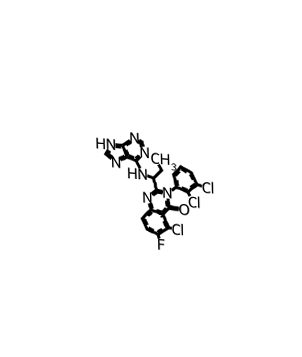 CCC(Nc1ncnc2[nH]cnc12)c1nc2ccc(F)c(Cl)c2c(=O)n1-c1cccc(Cl)c1Cl